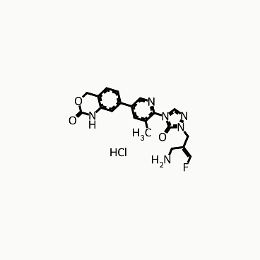 Cc1cc(-c2ccc3c(c2)NC(=O)OC3)cnc1-n1cnn(C/C(=C/F)CN)c1=O.Cl